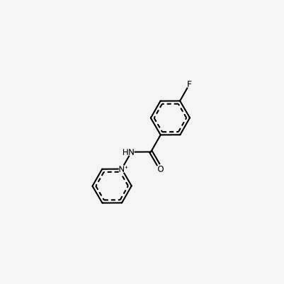 O=C(N[n+]1ccccc1)c1ccc(F)cc1